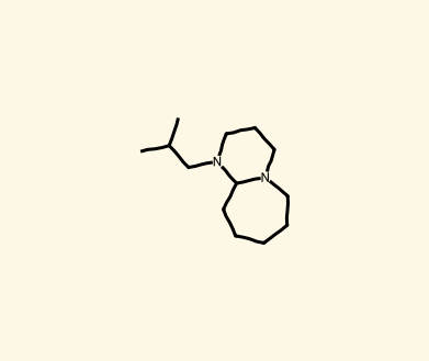 CC(C)CN1CCCN2CCCCCC21